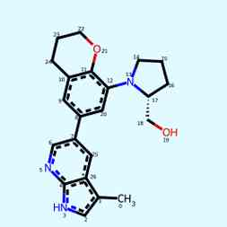 Cc1c[nH]c2ncc(-c3cc4c(c(N5CCC[C@@H]5CO)c3)OCCC4)cc12